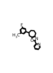 Cc1cc(F)cc(C2CCCc3nc(-c4ccccn4)oc3C2)c1